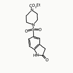 CCOC(=O)N1CCN(S(=O)(=O)c2ccc3c(c2)CC(=O)N3)CC1